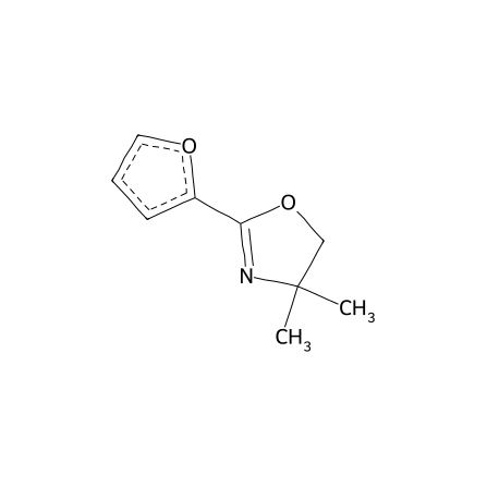 CC1(C)COC(c2ccco2)=N1